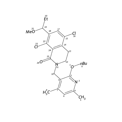 CCCCOc1nc(C)cc(C)c1CN1CCc2c(Cl)cc(C(CC)OC)c(Cl)c2C1=O